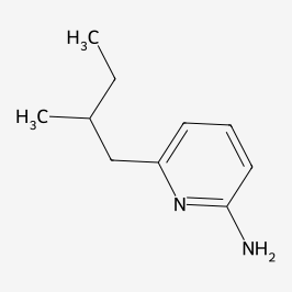 CCC(C)Cc1cccc(N)n1